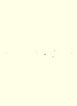 CCCCC[C@H]1CC[C@H]([C@H]2CC[C@H](C=CC#Cc3ccc([C@H]4CC[C@H](CC)CC4)cc3)CC2)CC1